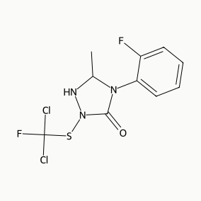 CC1NN(SC(F)(Cl)Cl)C(=O)N1c1ccccc1F